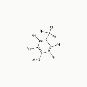 [2H]c1c([2H])c(C([2H])([2H])Cl)c([2H])c([2H])c1OC